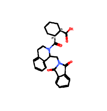 O=C(O)[C@@H]1CCCC[C@H]1C(=O)N1CCc2ccccc2C1CN1C(=O)c2ccccc2C1=O